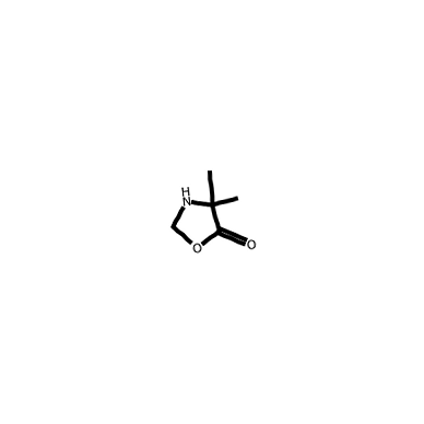 CC1(C)NCOC1=O